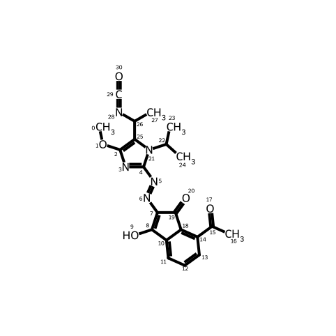 COc1nc(N=NC2=C(O)c3cccc(C(C)=O)c3C2=O)n(C(C)C)c1C(C)N=C=O